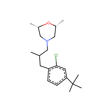 CC(Cc1ccc(C(C)(C)C)cc1Cl)CN1C[C@@H](C)O[C@@H](C)C1